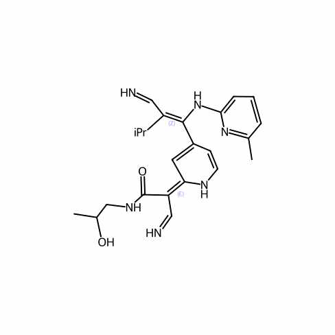 Cc1cccc(N/C(C2=C/C(=C(/C=N)C(=O)NCC(C)O)NC=C2)=C(\C=N)C(C)C)n1